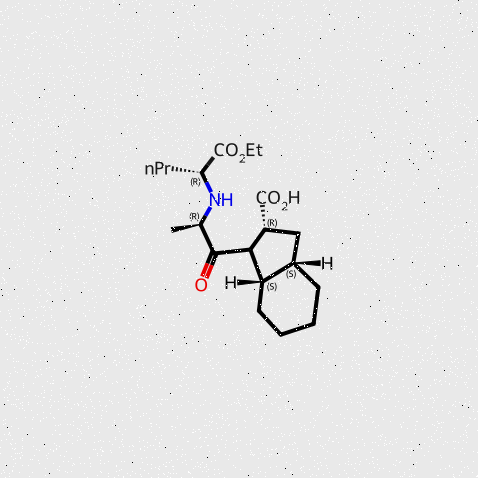 CCC[C@@H](N[C@H](C)C(=O)C1[C@H]2CCCC[C@H]2C[C@H]1C(=O)O)C(=O)OCC